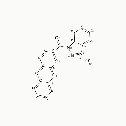 O=C(c1ccc2cc3ccccc3cc2c1)n1n[n+]([O-])c2ccccc21